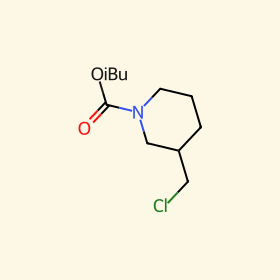 CC(C)COC(=O)N1CCCC(CCl)C1